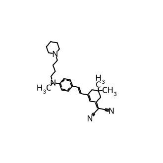 CN(CCCCN1CCCCC1)c1ccc(/C=C/C2=CC(=C(C#N)C#N)CC(C)(C)C2)cc1